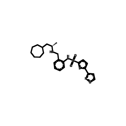 C[C@@H](CC1CCCCCC1)NCc1ccccc1NS(=O)(=O)c1ccc(-c2ccon2)s1